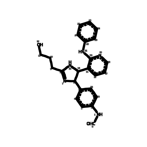 O=CNc1ccc(C2N=C(CCCO)NC2c2cccnc2Nc2ccccc2)cc1